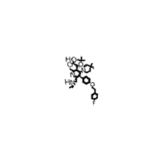 CCNCc1nc(C)c([C@H](OC(C)(C)C)C(=O)O)c(N2CCC(C)(C)CC2)c1-c1ccc(OCCc2ccc(F)cc2)cc1